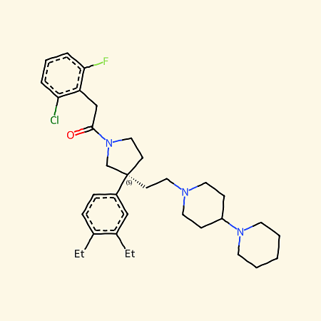 CCc1ccc([C@]2(CCN3CCC(N4CCCCC4)CC3)CCN(C(=O)Cc3c(F)cccc3Cl)C2)cc1CC